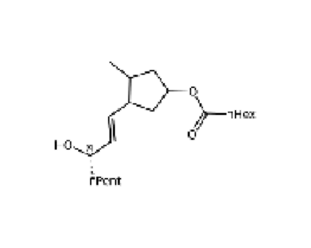 CCCCCCC(=O)OC1CC(C)C(C=C[C@@H](O)CCCCC)C1